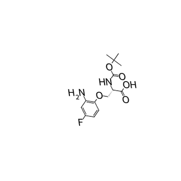 CC(C)(C)OC(=O)N[C@@H](COc1ccc(F)cc1N)C(=O)O